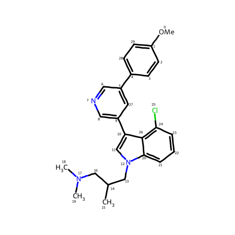 COc1ccc(-c2cncc(-c3cn(CC(C)CN(C)C)c4cccc(Cl)c34)c2)cc1